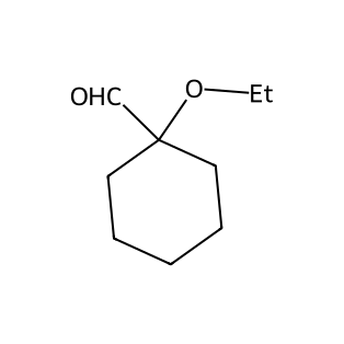 CCOC1(C=O)CCCCC1